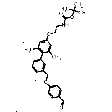 Cc1cc(OCCNC(=O)OC(C)(C)C)cc(C)c1-c1cccc(COc2ccc(C=O)cc2)c1